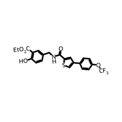 CCOC(=O)c1cc(CNC(=O)c2cc(-c3ccc(OC(F)(F)F)cc3)cs2)ccc1O